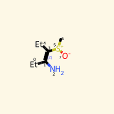 CC/C(N)=C(\CC)[S+](C)[O-]